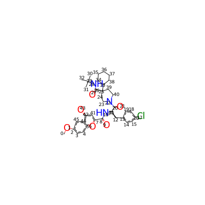 COc1ccc2oc(C(=O)N[C@H](Cc3ccc(Cl)cc3)C(=O)N3CCC(C(=O)NC(C)(C)C)(C4CCCCC4)CC3)cc(=O)c2c1